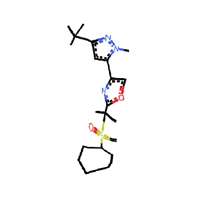 C=S(=O)(C1CCCCC1)C(C)(C)c1nc(-c2cc(C(C)(C)C)nn2C)co1